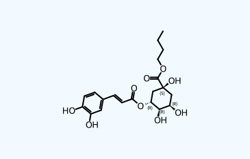 CCCCOC(=O)[C@]1(O)C[C@@H](O)[C@@H](O)[C@H](OC(=O)C=Cc2ccc(O)c(O)c2)C1